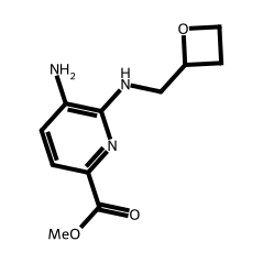 COC(=O)c1ccc(N)c(NCC2CCO2)n1